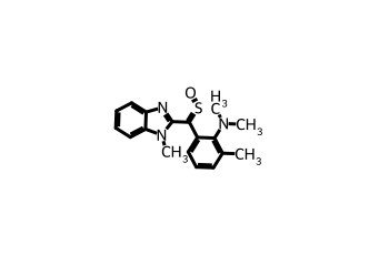 Cc1cccc(C(=S=O)c2nc3ccccc3n2C)c1N(C)C